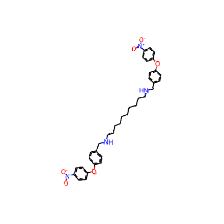 O=[N+]([O-])c1ccc(Oc2ccc(CNCCCCCCCCCCNCc3ccc(Oc4ccc([N+](=O)[O-])cc4)cc3)cc2)cc1